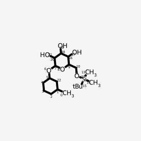 CC1CCCC(OC2OC(CO[Si](C)(C)C(C)(C)C)C(O)C(O)C2O)C1